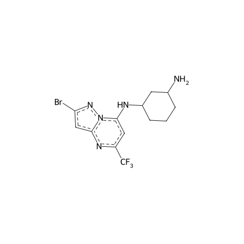 NC1CCCC(Nc2cc(C(F)(F)F)nc3cc(Br)nn23)C1